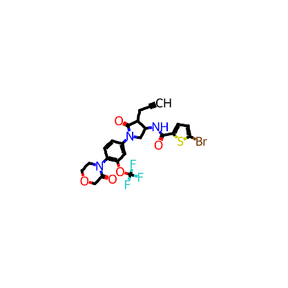 C#CCC1C(=O)N(c2ccc(N3CCOCC3=O)c(OC(F)(F)F)c2)CC1NC(=O)c1ccc(Br)s1